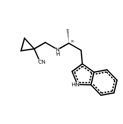 C[C@H](Cc1c[nH]c2ccccc12)NCC1(C#N)CC1